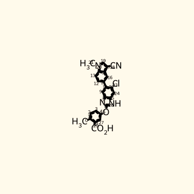 Cc1ccc(Oc2nc3cc(-c4ccc5c(c4)c(C#N)cn5C)c(Cl)cc3[nH]2)cc1C(=O)O